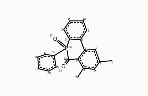 Cc1cc(C)c2c(c1)-c1ccccc1P(=O)(c1ccccc1)C2=O